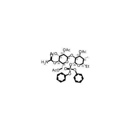 CC[C@@H]1O[C@H](OP(=O)(Oc2ccccc2)Oc2ccccc2)[C@@H](O[C@H]2O[C@H](COC(C)=O)[C@@H](OC(N)=O)[C@H](OC(C)=O)[C@@H]2OC(C)=O)[C@@H](OC(C)=O)[C@@H]1C